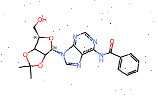 CC1(C)OC2C(O1)[C@@H](CO)O[C@H]2n1cnc2c(NC(=O)c3ccccc3)ncnc21